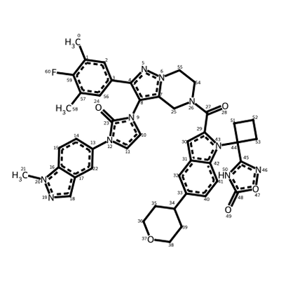 Cc1cc(-c2nn3c(c2-n2ccn(-c4ccc5c(cnn5C)c4)c2=O)CN(C(=O)c2cc4cc(C5CCOCC5)ccc4n2C2(c4noc(=O)[nH]4)CCC2)CC3)cc(C)c1F